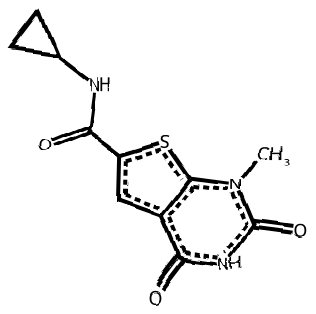 Cn1c(=O)[nH]c(=O)c2cc(C(=O)NC3CC3)sc21